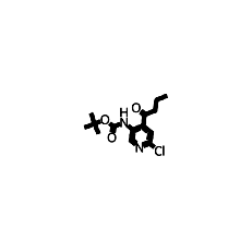 CCCC(=O)c1cc(Cl)ncc1NC(=O)OC(C)(C)C